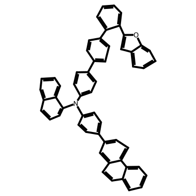 c1ccc(-c2cc3ccccc3o2)c(-c2ccc(-c3ccc(N(c4ccc(-c5ccc6c(ccc7ccccc76)c5)cc4)c4cccc5ccccc45)cc3)cc2)c1